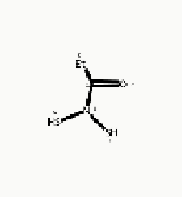 CCC(=O)N(S)S